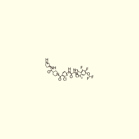 Cn1c(-c2ccc(OC(F)F)c(F)c2F)cnc1C(=O)Nc1ccc(C(=O)N2CCC(C(=O)N[C@H]3CCNC3)CC2)c(Cl)c1